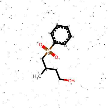 CC(CCO)CS(=O)(=O)c1ccccc1